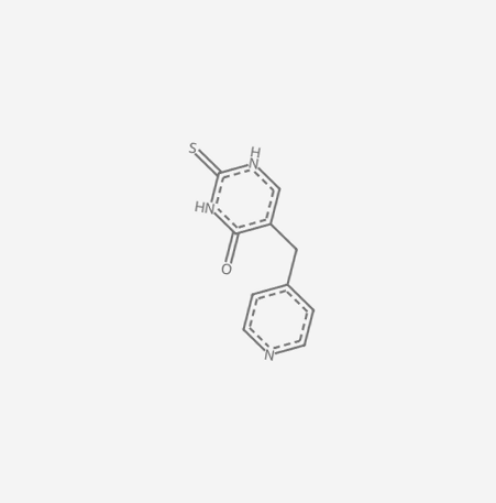 O=c1[nH]c(=S)[nH]cc1Cc1ccncc1